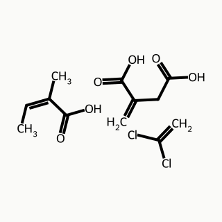 C=C(CC(=O)O)C(=O)O.C=C(Cl)Cl.CC=C(C)C(=O)O